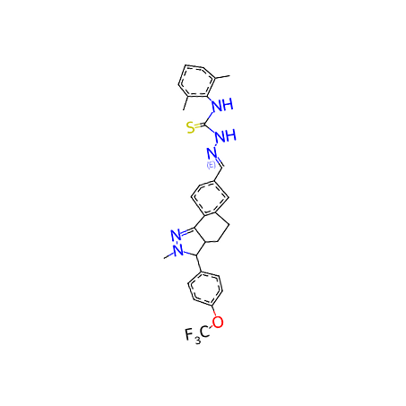 Cc1cccc(C)c1NC(=S)N/N=C/c1ccc2c(c1)CCC1C2=NN(C)C1c1ccc(OC(F)(F)F)cc1